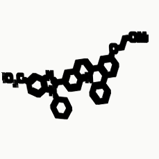 COCCOc1ccc(-c2ccccc2)c(-c2ccc3cc(-c4nc5cc(C(=O)O)ccc5n4C4CCCCC4)ccc3n2)c1